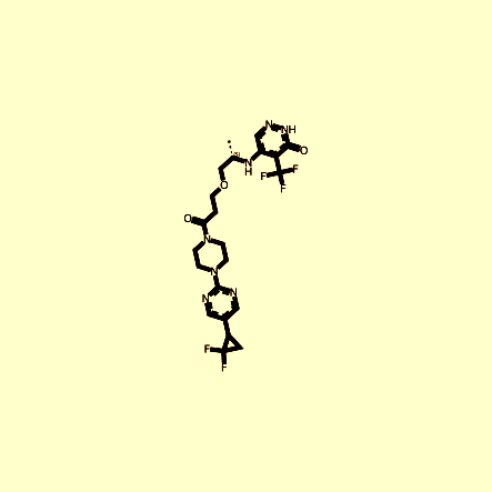 C[C@@H](COCCC(=O)N1CCN(c2ncc(C3CC3(F)F)cn2)CC1)Nc1cn[nH]c(=O)c1C(F)(F)F